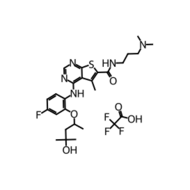 Cc1c(C(=O)NCCCN(C)C)sc2ncnc(Nc3ccc(F)cc3OC(C)CC(C)(C)O)c12.O=C(O)C(F)(F)F